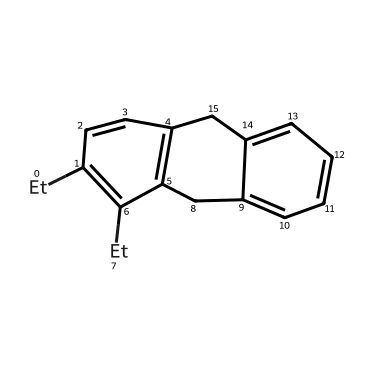 CCc1ccc2c(c1CC)Cc1ccccc1C2